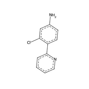 Nc1ccc(-c2ccccn2)c(Cl)c1